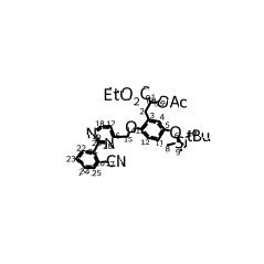 CCOC(=O)[C@@H](Cc1cc(O[Si](C)(C)C(C)(C)C)ccc1OCc1ccnc(-c2ccccc2C#N)n1)OC(C)=O